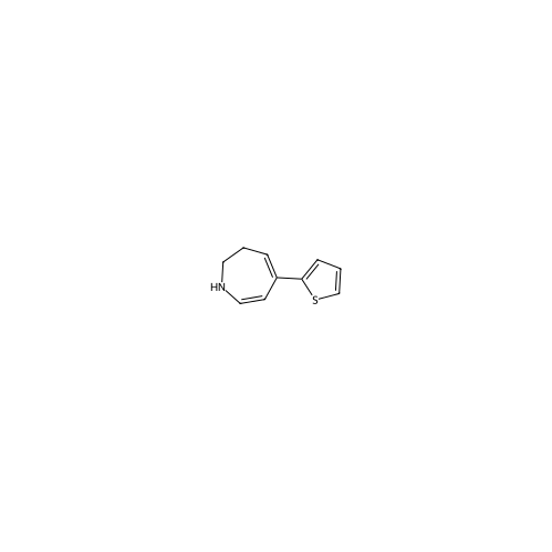 C1=CC(c2cccs2)=CCCN1